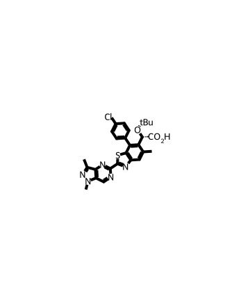 Cc1cc2nc(-c3ncc4c(n3)c(C)nn4C)sc2c(-c2ccc(Cl)cc2)c1[C@H](OC(C)(C)C)C(=O)O